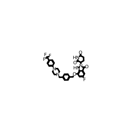 O=C1CCC(n2[nH]c3c(OCc4ccc(CN5CCN(c6ccc(C(F)(F)F)cc6)CC5)cc4)cc(F)cc3c2=O)C(=O)N1